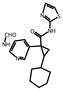 NC=O.O=C(Nc1nccs1)C1(c2cccnc2)CC1C1CCCCC1